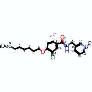 CCCCCCCCCCCCCCCCOc1ccc(C(=O)NCc2ccc[n+](CC)c2)cc1Cl.[I-]